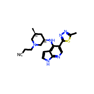 Cc1nnc(-c2cnc3[nH]ccc3c2N[C@@H]2C[C@H](C)CN(CCC#N)C2)s1